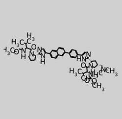 COCN[C@H](C(=O)N1CCC[C@H]1c1ncc(-c2ccc3cc(-c4ccc(-c5cnc([C@@H]6C[C@H](CN(C)C)CN6C(=O)[C@@H](NC(=O)OC)C(C)C)[nH]5)cc4)ccc3c2)[nH]1)C(C)C